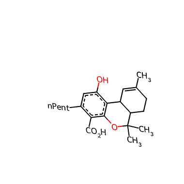 CCCCCc1cc(O)c2c(c1C(=O)O)OC(C)(C)C1CCC(C)=CC21